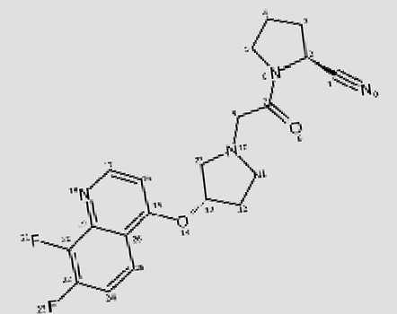 N#C[C@@H]1CCCN1C(=O)CN1CC[C@H](Oc2ccnc3c(F)c(F)ccc23)C1